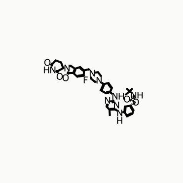 Cc1cnc(Nc2ccc(N3CCN(Cc4cc5c(cc4F)C(=O)N(C4CCC(=O)NC4=O)C5)CC3)cc2)nc1Nc1cccc(S(=O)(=O)NC(C)(C)C)c1